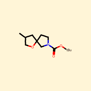 CC1COC2(CCN(C(=O)OC(C)(C)C)C2)C1